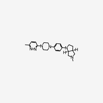 Cc1ccc(N2CCN(c3ccc(N4CC[C@@H]5CN(C)C[C@@H]54)cc3)CC2)nn1